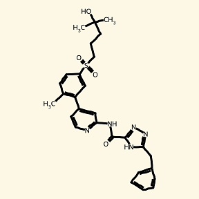 Cc1ccc(S(=O)(=O)CCCC(C)(C)O)cc1-c1ccnc(NC(=O)c2nnc(Cc3ccccc3)[nH]2)c1